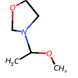 COC(C)N1CCOC1